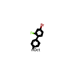 CCCCCCCCc1ccc(-c2ccc(Br)cc2F)cc1